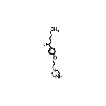 CCCCCC(=O)c1ccc(OCCCN2CCNCC2)cc1